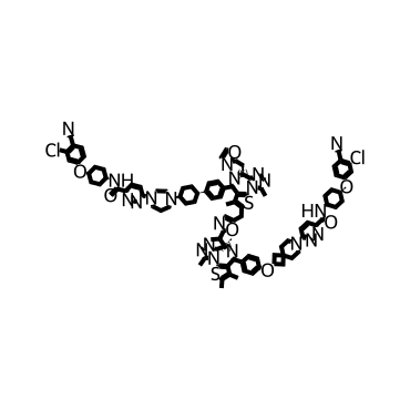 Cc1sc2c(c1C)C(c1ccc(OC3CC4(CCN(c5ccc(C(=O)N[C@H]6CC[C@H](Oc7ccc(C#N)c(Cl)c7)CC6)nn5)CC4)C3)cc1)=N[C@](C)(C(C)c1ncc(Cc3sc4c(c3C)C(c3ccc([C@H]5CC[C@H](N6CCCN(c7ccc(C(=O)N[C@H]8CC[C@H](Oc9ccc(C#N)c(Cl)c9)CC8)nn7)CC6)CC5)cc3)=N[C@@H](Cc3ncco3)c3nnc(C)n3-4)o1)c1nnc(C)n1-2